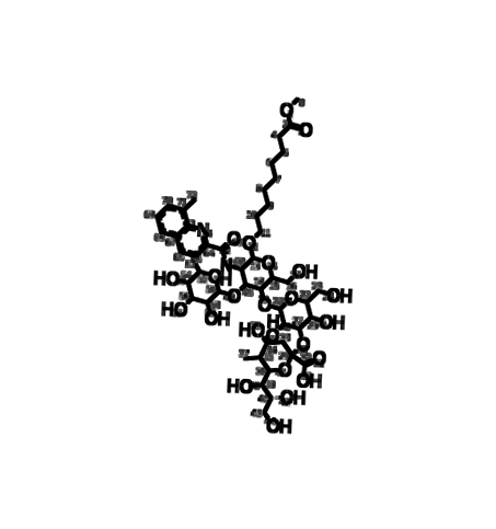 COC(=O)CCCCCCCCOC1OC(CO)C(OC2OC(CO)C(O)C(O[C@]3(C(=O)O)CC(O)C(C)C([C@H](O)[C@H](O)CO)O3)C2O)C(OC2OC(C)C(O)C(O)C2O)C1NC(=O)c1ccc2cccc(C)c2n1